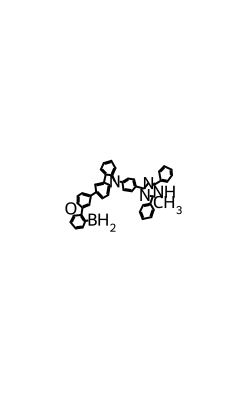 Bc1cccc2oc3ccc(-c4ccc5c(c4)c4ccccc4n5-c4ccc(C5=NC(C)(c6ccccc6)NC(c6ccccc6)=N5)cc4)cc3c12